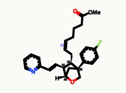 COC(=O)CCC/C=C\C[C@H]1[C@H](C=Cc2ccccn2)[C@@H]2C[C@@]1(c1ccc(F)cc1)CO2